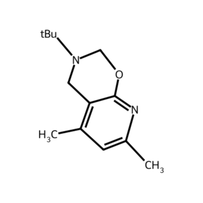 Cc1cc(C)c2c(n1)OCN(C(C)(C)C)C2